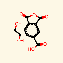 O=C(O)c1ccc2c(c1)C(=O)OC2=O.OCCO